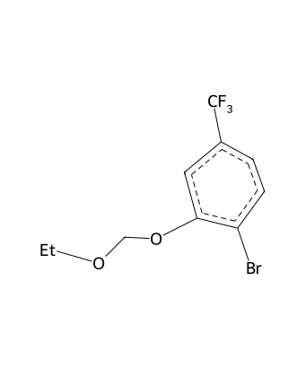 CCOCOc1cc(C(F)(F)F)ccc1Br